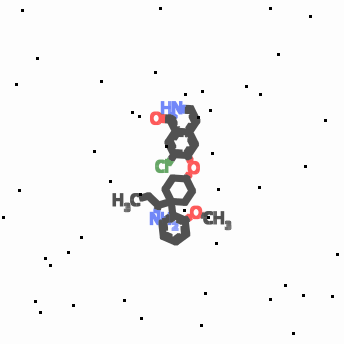 CCC(N)C1(c2ccccc2OC)CCC(Oc2cc3cc[nH]c(=O)c3cc2Cl)CC1